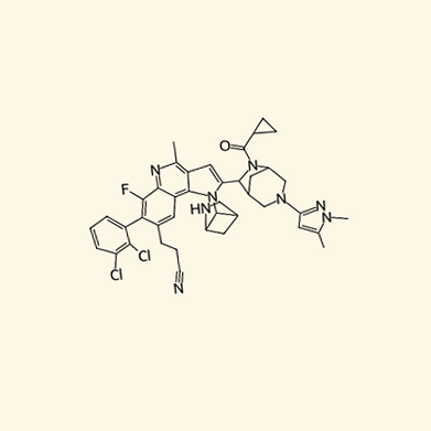 Cc1nc2c(F)c(-c3cccc(Cl)c3Cl)c(CCC#N)cc2c2c1cc(C1C3CC(CN(c4cc(C)n(C)n4)C3)N1C(=O)C1CC1)n2C1C2CNC1C2